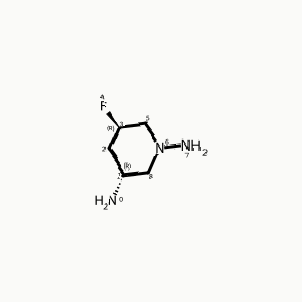 N[C@@H]1C[C@@H](F)CN(N)C1